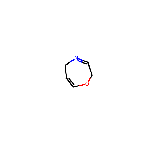 [C]1=COCC=NC1